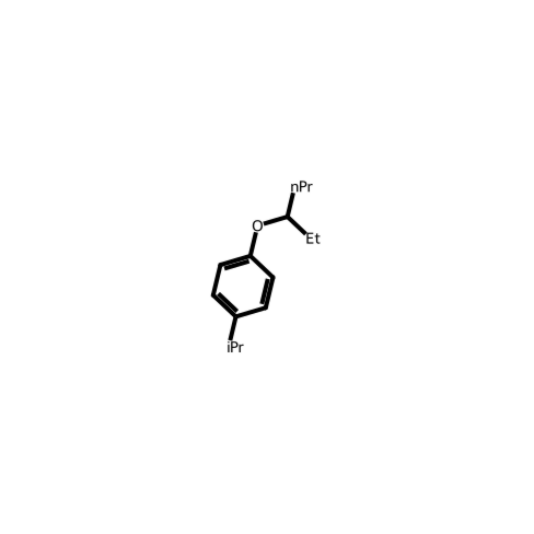 CCCC(CC)Oc1ccc(C(C)C)cc1